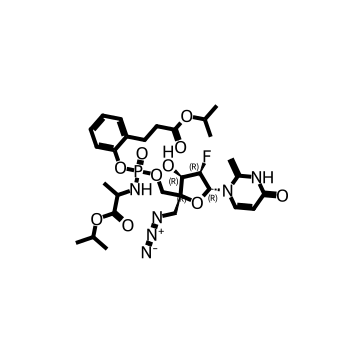 C=C1NC(=O)C=CN1[C@@H]1O[C@](CN=[N+]=[N-])(COP(=O)(NC(C)C(=O)OC(C)C)Oc2ccccc2CCC(=O)OC(C)C)[C@@H](O)[C@H]1F